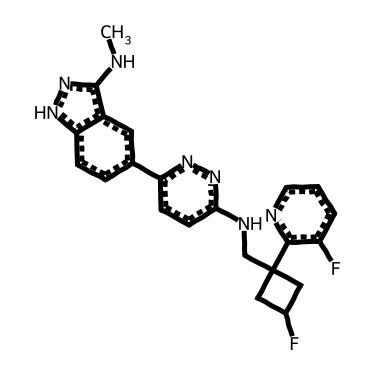 CNc1n[nH]c2ccc(-c3ccc(NCC4(c5ncccc5F)CC(F)C4)nn3)cc12